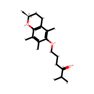 Cc1c(C)c2c(c(C)c1OCCCC(=O)C(C)C)CC[C@H](C)O2